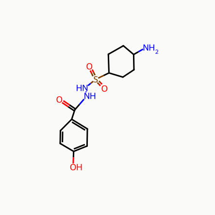 NC1CCC(S(=O)(=O)NNC(=O)c2ccc(O)cc2)CC1